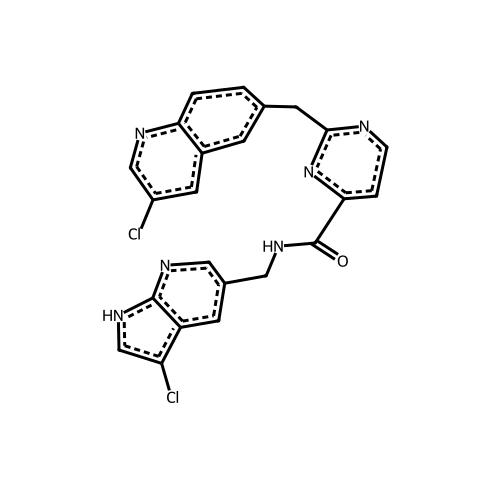 O=C(NCc1cnc2[nH]cc(Cl)c2c1)c1ccnc(Cc2ccc3ncc(Cl)cc3c2)n1